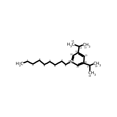 CCCCCCCCC[n+]1cc(C(C)C)cc(C(C)C)c1